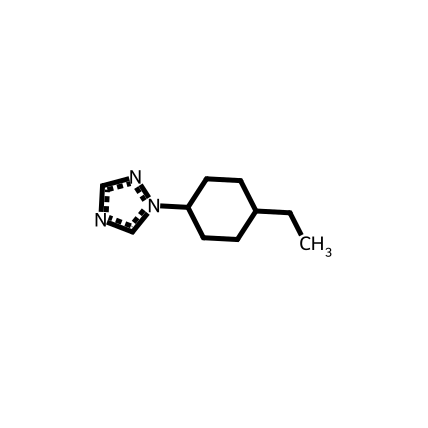 CCC1CCC(n2cncn2)CC1